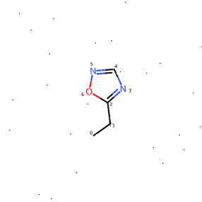 C[CH]c1ncno1